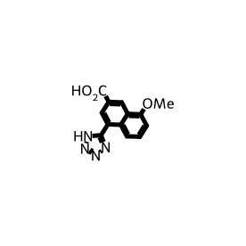 COc1cccc2c(-c3nnn[nH]3)cc(C(=O)O)cc12